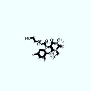 CCn1c(Nc2ccc(I)cc2F)c(OC(=O)NOCCO)c(=O)n(C)c1=O